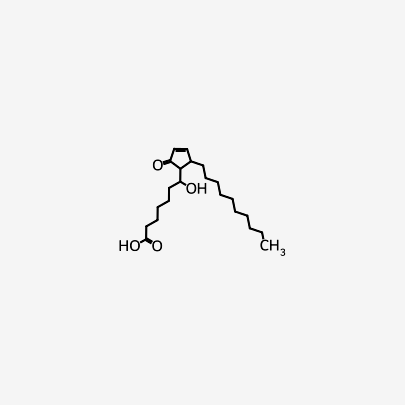 CCCCCCCCCCC1C=CC(=O)C1C(O)CCCCCC(=O)O